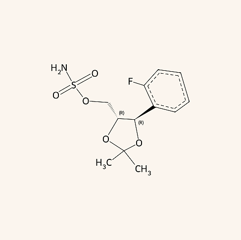 CC1(C)O[C@H](c2ccccc2F)[C@@H](COS(N)(=O)=O)O1